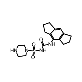 O=C(Nc1c2c(cc3c1CCC3)CCC2)NS(=O)(=O)N1CCNCC1